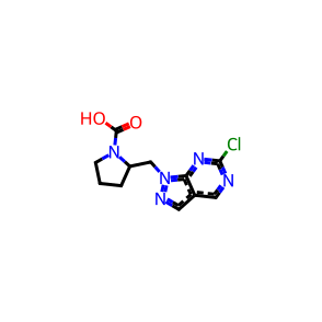 O=C(O)N1CCCC1Cn1ncc2cnc(Cl)nc21